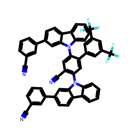 N#Cc1cccc(-c2ccc3c4ccccc4n(-c4cc(-c5cc(C(F)(F)F)cc(C(F)(F)F)c5)c(-n5c6ccccc6c6ccc(-c7cccc(C#N)c7)cc65)cc4C#N)c3c2)c1